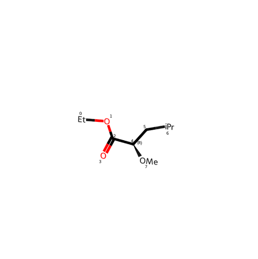 CCOC(=O)[C@@H](CC(C)C)OC